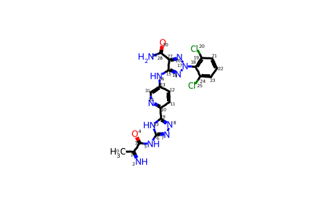 CC(=N)C(=O)Nc1nnc(-c2ccc(Nc3nn(-c4c(Cl)cccc4Cl)nc3C(N)=O)cn2)[nH]1